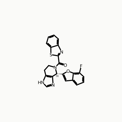 O=C(c1nc2ccccc2s1)N1CCc2[nH]cnc2[C@H]1c1cc2cccc(F)c2o1